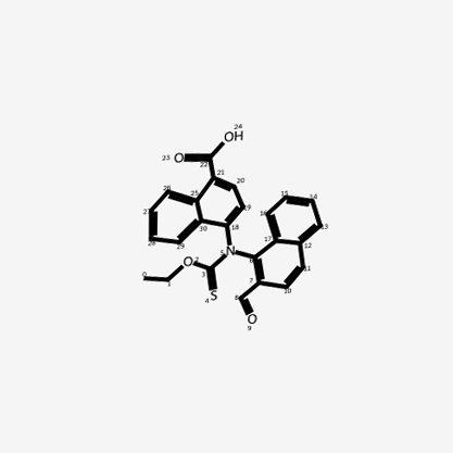 CCOC(=S)N(c1c(C=O)ccc2ccccc12)c1ccc(C(=O)O)c2ccccc12